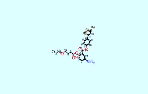 Nc1ccc(OC(O)CCCO[N+](=O)[O-])c(C(=O)Oc2ccc(-c3cc(=S)ss3)cc2)c1